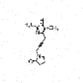 Cc1nc(CC#CCN2CCCC2=O)c(C)[nH]1